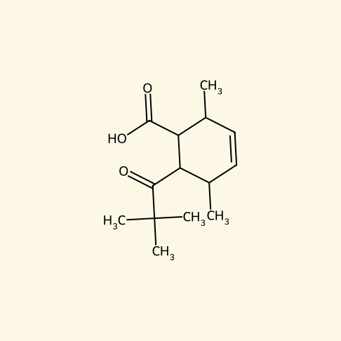 CC1C=CC(C)C(C(=O)C(C)(C)C)C1C(=O)O